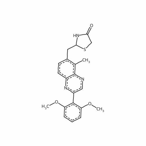 COc1cccc(OC)c1-c1cnc2c(C)c(CC3NC(=O)CS3)ccc2n1